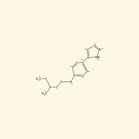 CCC(C)CCOc1ccc(-c2ccn[nH]2)cc1